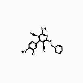 N#Cc1c(N)nc(SCc2ccccc2)c(C#N)c1-c1ccc(O)c(Cl)c1